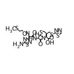 CSCCO/N=C(/C(=O)NC1C(=O)N2C(C(=O)O)=C(CSc3nncs3)CS[C@H]12)c1nsc(N)n1